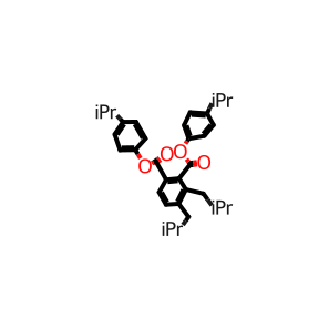 CC(C)Cc1ccc(C(=O)Oc2ccc(C(C)C)cc2)c(C(=O)Oc2ccc(C(C)C)cc2)c1CC(C)C